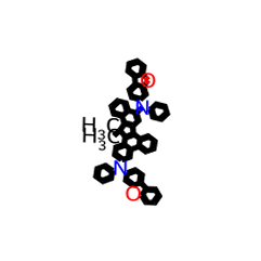 CC1(C)c2c(cc(N(c3ccccc3)c3ccc4c(c3)oc3ccccc34)c3ccccc23)-c2c1c1ccc(N(c3ccccc3)c3ccc4c(c3)oc3ccccc34)cc1c1ccccc21